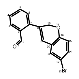 O=Cc1ccccc1C1=Cc2cc(Br)ccc2OC1